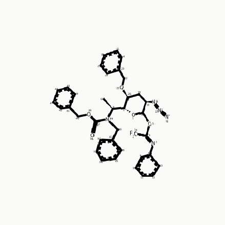 C[C@@H]([C@H]1OC(O/C(=N/c2ccccc2)C(F)(F)F)[C@H](N=[N+]=[N-])C[C@@H]1OCc1ccccc1)N(Cc1ccccc1)C(=O)OCc1ccccc1